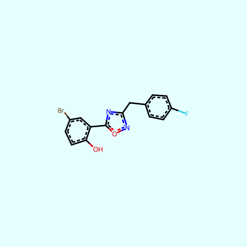 Oc1ccc(Br)cc1-c1nc(Cc2ccc(F)cc2)no1